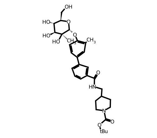 Cc1cc(-c2cccc(C(=O)NCC3CCN(C(=O)OC(C)(C)C)CC3)c2)ccc1O[C@H]1O[C@H](CO)[C@@H](O)[C@H](O)[C@]1(C)O